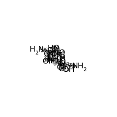 C[C@H](NC(=O)[C@H](C)NC(=O)[C@H](CO)NC(=O)[C@H](CCCCN)NC(=O)[C@@H](N)CO)C(=O)N[C@@H](CCCCN)C(=O)O